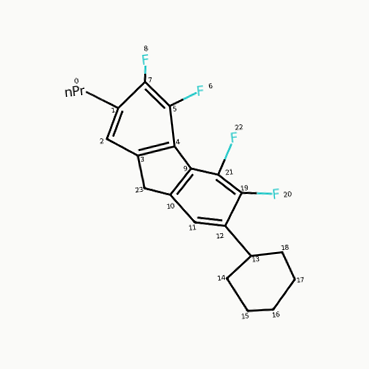 CCCc1cc2c(c(F)c1F)-c1c(cc(C3CCCCC3)c(F)c1F)C2